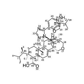 CC(C)[C@@H](C)[C@@]1(C)CC[C@]2(C)[C@H]3CC[C@@H]4[C@@]5(COC[C@]4(C)[C@@H](OC[C@](C)(N)C(C)C)[C@H](n4ncnc4-c4ccncc4)C5)C3=CC[C@@]2(C)[C@@H]1C(=O)O